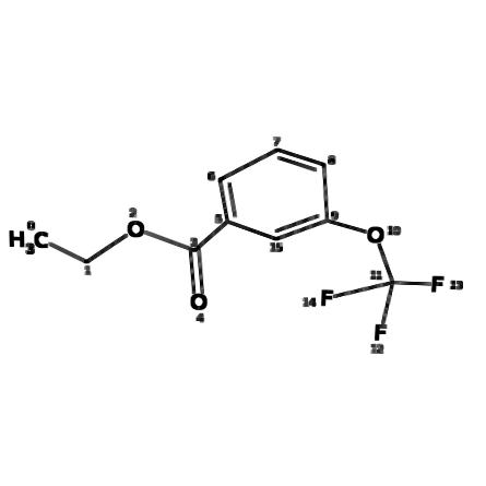 CCOC(=O)c1cccc(OC(F)(F)F)c1